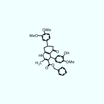 COc1ccc(C2C(C(=O)OCc3ccccc3)=C(C)NC3=C2C(=O)CC(c2ccc(OC)c(OC)c2)C3)cc1O